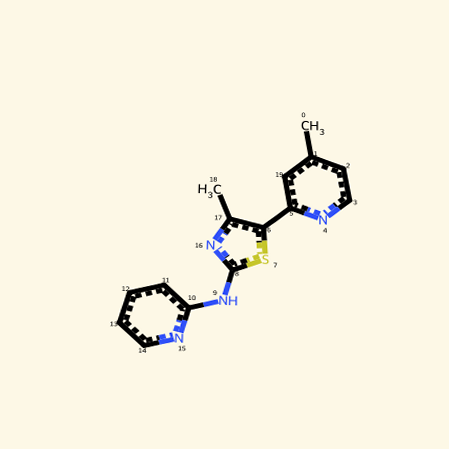 Cc1ccnc(-c2sc(Nc3ccccn3)nc2C)c1